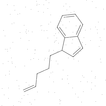 C=CCCCC1C=Cc2ccccc21